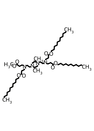 CCCCCCCCCCCOC(=O)CCN(CCC(=O)OCCCCCCCCCCC)CCN1C[C@H](C)N(CCN(CCC(=O)OC)CCC(=O)OCCCCCCCCCCC)C[C@H]1C